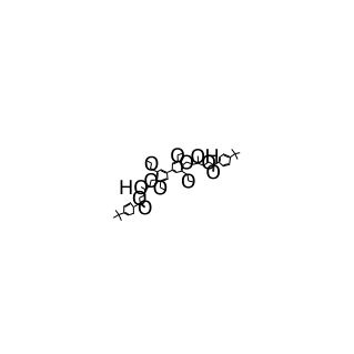 COCc1cc(-c2cc(COC)c(OCC(O)COC(=O)C3C=CC(C(C)(C)C)=CC3)c(OC)c2)cc(OC)c1OCC(O)COC(=O)c1ccc(C(C)(C)C)cc1